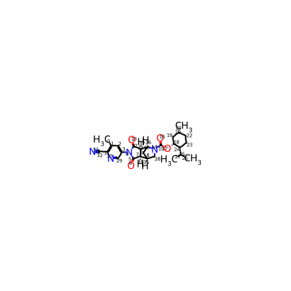 Cc1cc(N2C(=O)[C@@H]3[C@@H]4C[C@@H]([C@@H]3C2=O)N(C(=O)O[C@@H]2C[C@H](C)CC[C@H]2C(C)C)C4)cnc1C#N